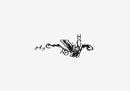 CCCCCCCCC(O)C(CC(O)C(CC(C(O)CCC[C]=O)[N+](=O)[O-])[N+](=O)[O-])[N+](=O)[O-]